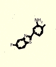 Cc1ccc(-c2nc3cc(F)ccc3s2)cc1N